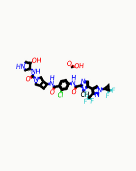 Cn1c(-c2cn(C3CC3(F)F)nc2C(F)(F)F)cnc1C(=O)Nc1ccc(C(=O)NC2CC3CN(C(=O)N[C@H]4CNC[C@@H]4O)CC32)c(Cl)c1.O=CO